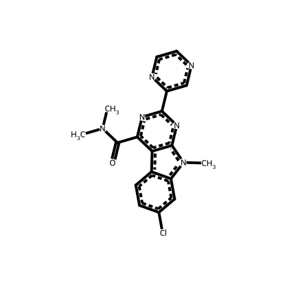 CN(C)C(=O)c1nc(-c2cnccn2)nc2c1c1ccc(Cl)cc1n2C